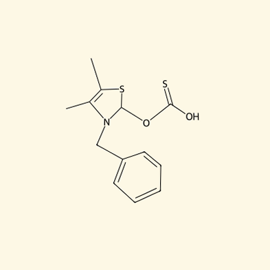 CC1=C(C)N(Cc2ccccc2)C(OC(O)=S)S1